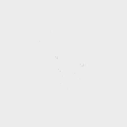 Cc1cc(-c2ccccc2)nc2nc3ccc(Cl)cc3c(N)c12